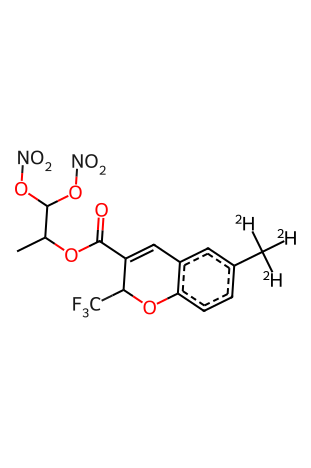 [2H]C([2H])([2H])c1ccc2c(c1)C=C(C(=O)OC(C)C(O[N+](=O)[O-])O[N+](=O)[O-])C(C(F)(F)F)O2